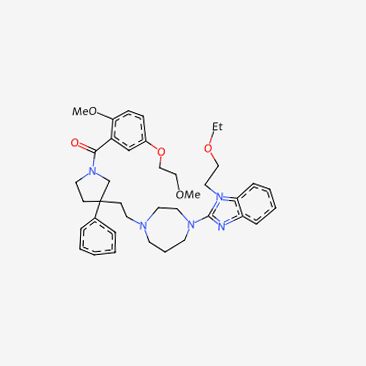 CCOCCn1c(N2CCCN(CCC3(c4ccccc4)CCN(C(=O)c4cc(OCCOC)ccc4OC)C3)CC2)nc2ccccc21